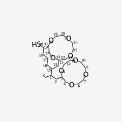 C[C](CC1COCCOCCOCCO1)C(CCCCS)CC1COCCOCCOCCO1